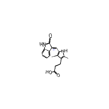 Cc1[nH]c(/C=C2/C(=O)Nc3ccccc32)c(C)c1CCC(=O)O